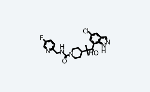 CC(C)(C1CCN(C(=O)NCc2ccc(F)cn2)CC1)[C@H](O)c1cc(Cl)cc2cn[nH]c12